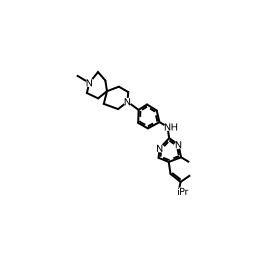 C/C(=C\c1cnc(Nc2ccc(N3CCC4(CCN(C)CC4)CC3)cc2)nc1C)C(C)C